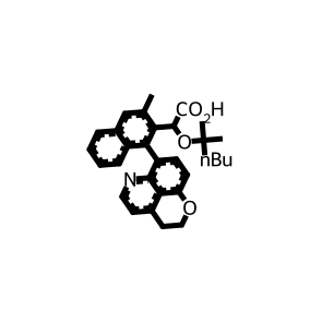 CCCCC(C)(C)OC(C(=O)O)c1c(C)cc2ccccc2c1-c1ccc2c3c(ccnc13)CCO2